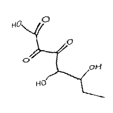 CCC(O)C(O)C(=O)C(=O)C(=O)O